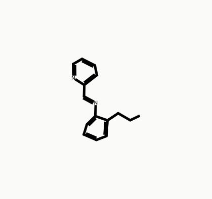 CCCc1ccccc1N=Cc1ccccn1